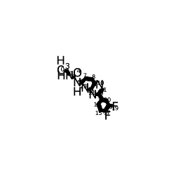 CCNC(=O)Nc1ccc2ncc(-c3ccc(F)c(F)c3)nc2n1